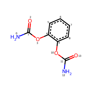 NC(=O)Oc1ccccc1OC(N)=O